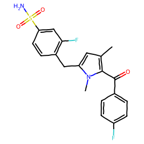 Cc1cc(Cc2ccc(S(N)(=O)=O)cc2F)n(C)c1C(=O)c1ccc(F)cc1